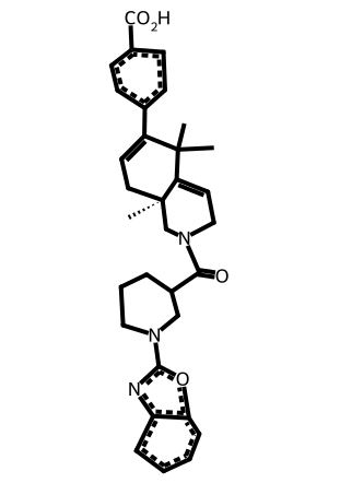 CC1(C)C(c2ccc(C(=O)O)cc2)=CC[C@]2(C)CN(C(=O)C3CCCN(c4nc5ccccc5o4)C3)CC=C12